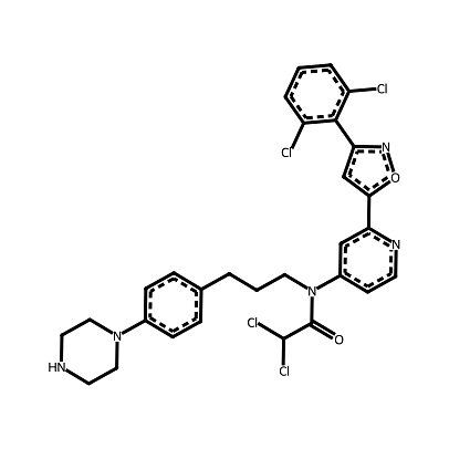 O=C(C(Cl)Cl)N(CCCc1ccc(N2CCNCC2)cc1)c1ccnc(-c2cc(-c3c(Cl)cccc3Cl)no2)c1